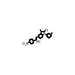 [C-]#[N+]/C(=C\c1ccc2c(c1)C(C)C(CC)N2c1cccc(C)c1)c1ccc([N+](=O)[O-])cc1